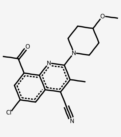 COC1CCN(c2nc3c(C(C)=O)cc(Cl)cc3c(C#N)c2C)CC1